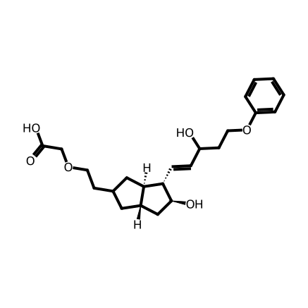 O=C(O)COCCC1C[C@H]2C[C@H](O)[C@@H](C=CC(O)CCOc3ccccc3)[C@@H]2C1